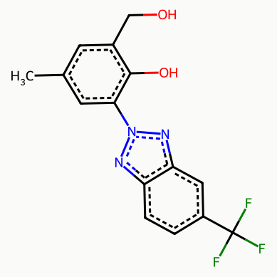 Cc1cc(CO)c(O)c(-n2nc3ccc(C(F)(F)F)cc3n2)c1